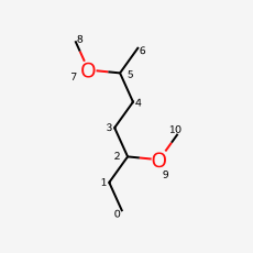 CCC(CCC(C)OC)OC